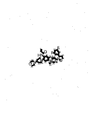 C=CC(=O)Nc1cc(Nc2cc(N3OCCC3c3cc(F)cc(F)c3)ncn2)c(OC)cc1N1CCC(N2CCOCC2)CC1